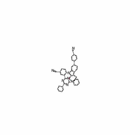 N#Cc1ccc(-c2ccc3c4ccccc4n(-c4ccc(C#N)cc4-c4nc(-c5ccccc5)nc(-c5ccccc5)n4)c3c2)cc1